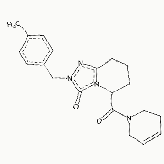 Cc1ccc(Cn2nc3n(c2=O)C(C(=O)N2CC=CCC2)CCC3)cc1